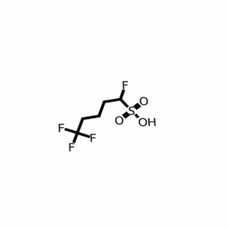 O=S(=O)(O)C(F)CCCC(F)(F)F